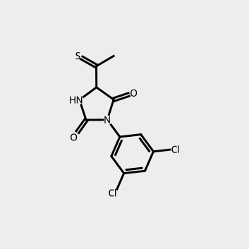 CC(=S)C1NC(=O)N(c2cc(Cl)cc(Cl)c2)C1=O